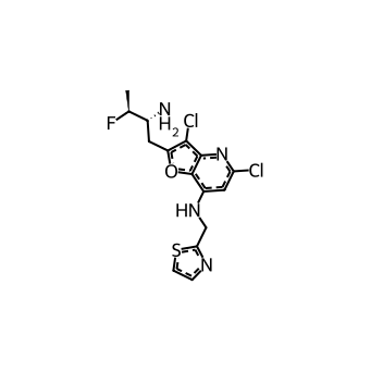 C[C@H](F)[C@H](N)Cc1oc2c(NCc3nccs3)cc(Cl)nc2c1Cl